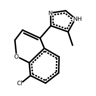 Cc1[nH]cnc1C1=CCOc2c(Cl)cccc21